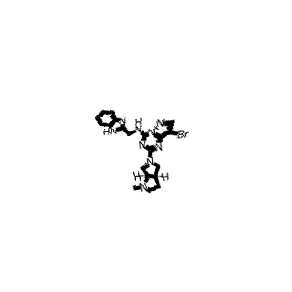 CN1CC[C@@H]2CN(c3nc(NCc4nc5ccccc5[nH]4)n4ncc(Br)c4n3)C[C@@H]21